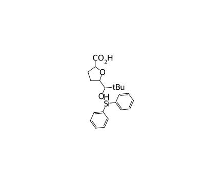 CC(C)(C)C(O[SiH](c1ccccc1)c1ccccc1)C1CCC(C(=O)O)O1